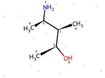 C[C@@H]([C@H](C)O)[C@@H](C)N